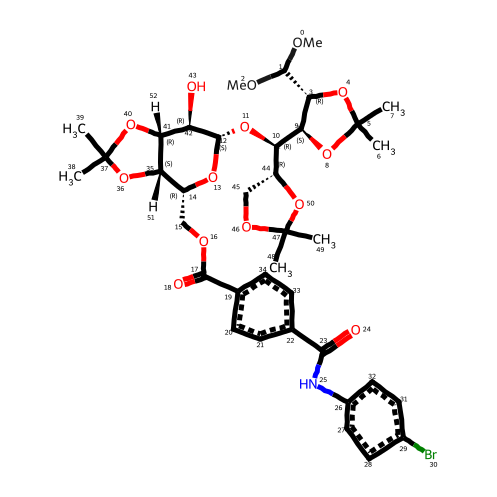 COC(OC)[C@@H]1OC(C)(C)O[C@H]1[C@H](O[C@@H]1O[C@H](COC(=O)c2ccc(C(=O)Nc3ccc(Br)cc3)cc2)[C@@H]2OC(C)(C)O[C@@H]2[C@H]1O)[C@H]1COC(C)(C)O1